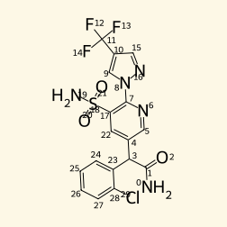 NC(=O)C(c1cnc(-n2cc(C(F)(F)F)cn2)c(S(N)(=O)=O)c1)c1ccccc1Cl